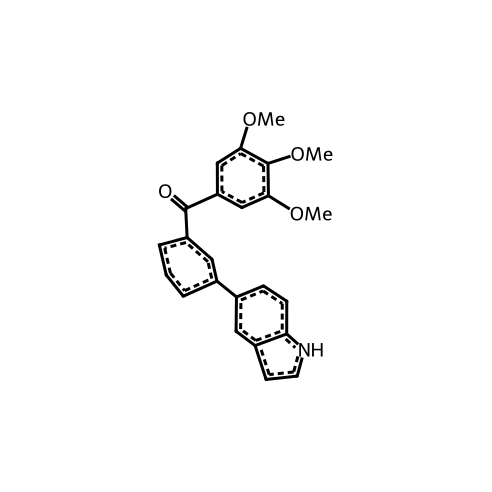 COc1cc(C(=O)c2cccc(-c3ccc4[nH]ccc4c3)c2)cc(OC)c1OC